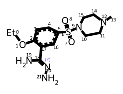 CCOc1ccc(S(=O)(=O)N2CCN(C)CC2)cc1/C(N)=N/N